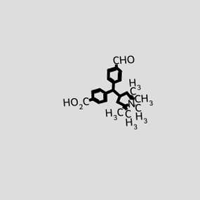 CN1C(C)(C)CC(C(c2ccc(C=O)cc2)c2ccc(C(=O)O)cc2)CC1(C)C